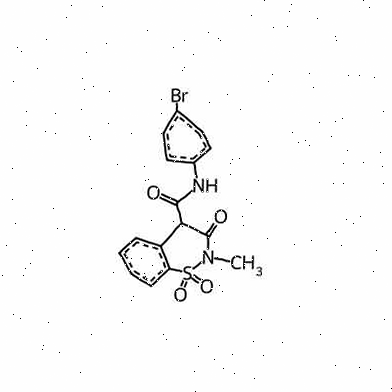 CN1C(=O)C(C(=O)Nc2ccc(Br)cc2)c2ccccc2S1(=O)=O